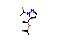 C=C(C)OC(=C)c1ccnn1C(C)C